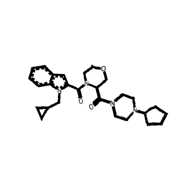 O=C(C1COCCN1C(=O)c1cc2ccccc2n1CC1CC1)N1CCN(C2CCCC2)CC1